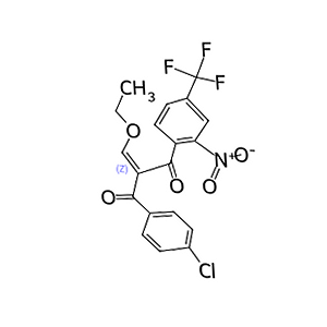 CCO/C=C(/C(=O)c1ccc(Cl)cc1)C(=O)c1ccc(C(F)(F)F)cc1[N+](=O)[O-]